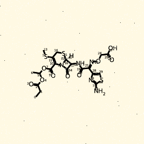 CCC(=O)OC(C)OC(=O)C1=C(SC)CS[C@H]2C(NC(=O)C(=NOCC(=O)O)c3csc(N)n3)C(=O)N12